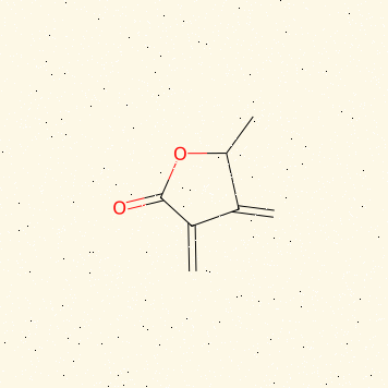 C=C1C(=C)C(C)OC1=O